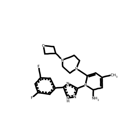 CC1=CC(N)N(c2n[nH]c(-c3cc(F)cc(F)c3)n2)C(N2CCN(C3COC3)CC2)=C1